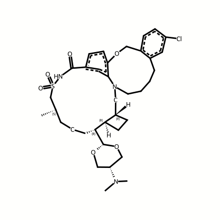 C[C@H]1CCC[C@@H]([C@H]2OC[C@@H](N(C)C)CO2)[C@@H]2CC[C@H]2CN2CCCCc3cc(Cl)ccc3COc3ccc(cc32)C(=O)NS(=O)(=O)C1